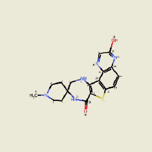 CN1CCC2(CC1)CNc1c(sc3ccc4nc(O)cnc4c13)C(=O)N2